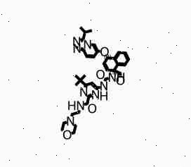 CC(C)c1nnc2ccc(O[C@@H]3C=C[C@](C=O)(NC(=O)Nc4cc(C(C)(C)C)nc(C(=O)NCCN5CCOCC5)n4)c4ccccc43)cn12